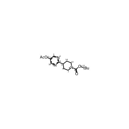 CC(=O)Oc1cnc(C2CCN(C(=O)OC(C)(C)C)CC2)nc1